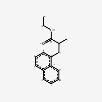 [CH2]C(Cc1cccc2ccccc12)C(=O)OCC